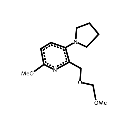 COCOCc1nc(OC)ccc1N1CCCC1